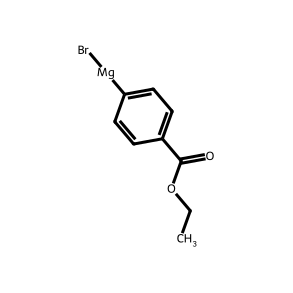 CCOC(=O)c1cc[c]([Mg][Br])cc1